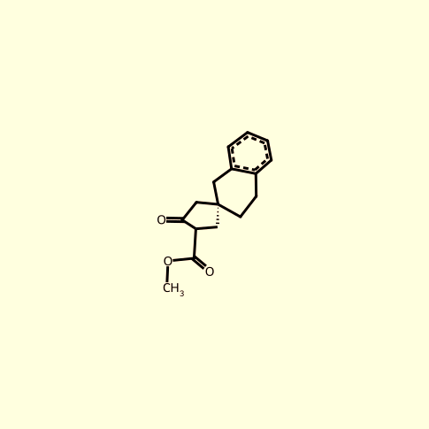 COC(=O)C1C[C@]2(CCc3ccccc3C2)CC1=O